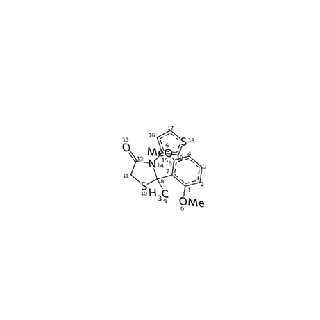 COc1cccc(OC)c1C1(C)SCC(=O)N1c1ccsc1